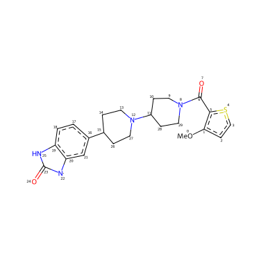 COc1ccsc1C(=O)N1CCC(N2CCC(c3ccc4c(c3)[N]C(=O)N4)CC2)CC1